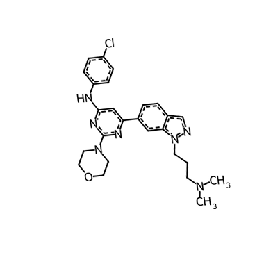 CN(C)CCCn1ncc2ccc(-c3cc(Nc4ccc(Cl)cc4)nc(N4CCOCC4)n3)cc21